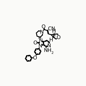 N#CC(=CC1[C@H]2COC[C@@H]12)C(=O)N1CCC[C@@H](n2c(=O)n(-c3ccc(Oc4ccccc4)cc3)c3c(N)nccc32)C1